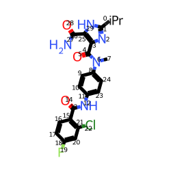 CC(C)c1nc(C(=O)N(C)c2ccc(NC(=O)c3ccc(F)cc3Cl)cc2)c(C(N)=O)[nH]1